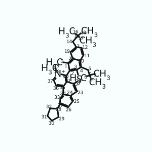 Cc1c2c(c(CC(C)(C)C)c3ccc(CC(C)(C)C)cc13)Sc1cc3ccc(C4CCCC4)cc3c3cc[n+](C)c-2c13